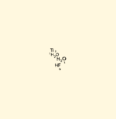 F.O.O.[Ti]